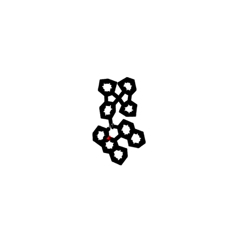 c1ccc(N(c2ccc3c(c2)C2(c4ccccc4-c4ccccc42)c2ccccc2-3)c2ccc3ccccc3c2-c2cccc3ccccc23)cc1